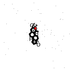 CC1CC(=O)C=C2CC[C@@H]3[C@@H](CC[C@]4(C)C(=O)CC[C@@H]34)[C@]21CO[Si](C)(C)C